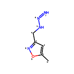 Cc1cc(CNN=N)no1